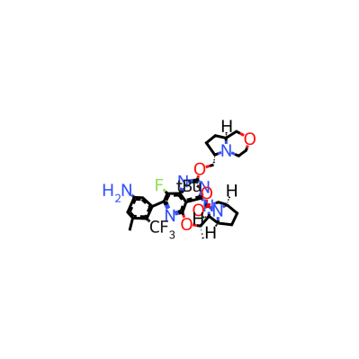 Cc1cc(N)cc(-c2nc3c4c(nc(OC[C@@H]5CC[C@H]6COCCN65)nc4c2F)N2C[C@H]4CC[C@@H]([C@H]2[C@H](C)O3)N4C(=O)OC(C)(C)C)c1C(F)(F)F